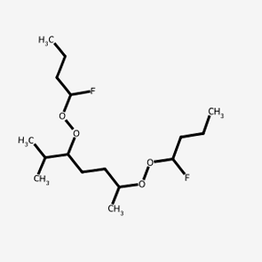 CCCC(F)OOC(C)CCC(OOC(F)CCC)C(C)C